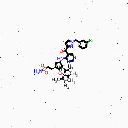 CC(C)[Si](O[C@H]1C[C@H](Nc2ncncc2C(=O)c2ccn(Cc3cccc(Br)c3)n2)C[C@@H]1CCS(N)(=O)=O)(C(C)C)C(C)C